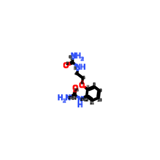 NC(=O)NCCOc1ccccc1NC(N)=O